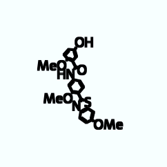 COc1ccc2nc(-c3ccc(NC(=O)c4cc(O)ccc4OC)cc3OC)sc2c1